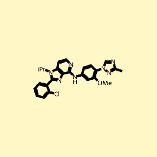 COc1cc(Nc2nccc3c2nc(-c2ccccc2Cl)n3C(C)C)ccc1-n1cnc(C)n1